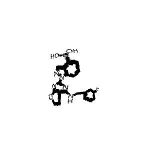 OB(O)c1cccc2c1cnn2-c1nc(NCc2cccc(F)c2)c2c(n1)OCC2